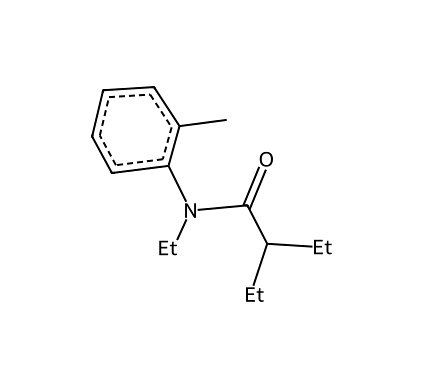 CCC(CC)C(=O)N(CC)c1ccccc1C